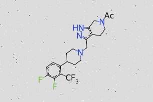 CC(=O)N1CCc2c(CN3CCC(c4ccc(F)c(F)c4C(F)(F)F)CC3)n[nH]c2C1